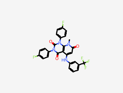 Cn1c(=O)cc(Nc2cccc(C(F)(F)F)c2)c2c(=O)n(-c3ccc(F)cc3)c(=O)n(-c3ccc(F)cc3)c21